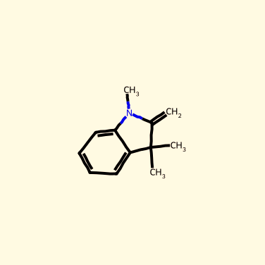 C=C1N(C)c2ccccc2C1(C)C